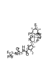 Cc1cc(C2=NOC(c3c(F)cc(F)cc3F)(C(F)(F)F)C2)sc1C(=O)NCC(=O)NCC(F)(F)F